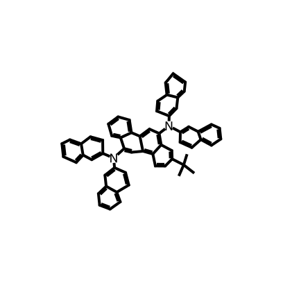 CC(C)(C)c1ccc2c(c1)c(N(c1ccc3ccccc3c1)c1ccc3ccccc3c1)cc1c3ccccc3c(N(c3ccc4ccccc4c3)c3ccc4ccccc4c3)cc21